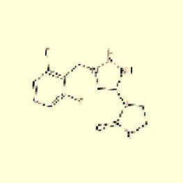 O=C1OCCN1C1CN(Cc2c(F)cccc2F)NN1